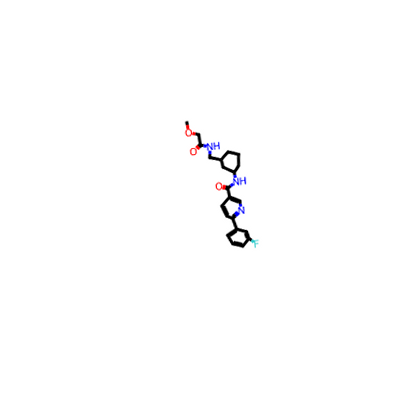 COCC(=O)NCC1CCCC(NC(=O)c2ccc(-c3cccc(F)c3)nc2)C1